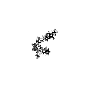 CNC(=O)C(Cc1ccccc1)NC(=O)C(COC(C)(C)C)NC(=O)C(NC(=O)C(N)CCCNC(=N)NS(=O)(=O)c1c(C)c(C)c2c(c1C)CC(C)(C)O2)C(C)C